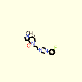 Cn1ccc2c1CCCN(CCCN1CCN(c3cccc(F)c3)CC1)C2=O